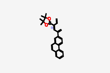 C=C/C(=C\C(=C)c1ccc2c(ccc3ccccc32)c1)B1OC(C)(C)C(C)(C)O1